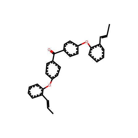 C/C=C/c1ccccc1Oc1ccc(C(=O)c2ccc(Oc3ccccc3/C=C/C)cc2)cc1